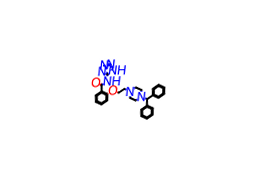 O=C(Nc1nnn[nH]1)c1ccccc1OCCN1CCN(C(c2ccccc2)c2ccccc2)CC1